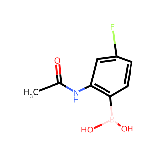 CC(=O)Nc1cc(F)ccc1B(O)O